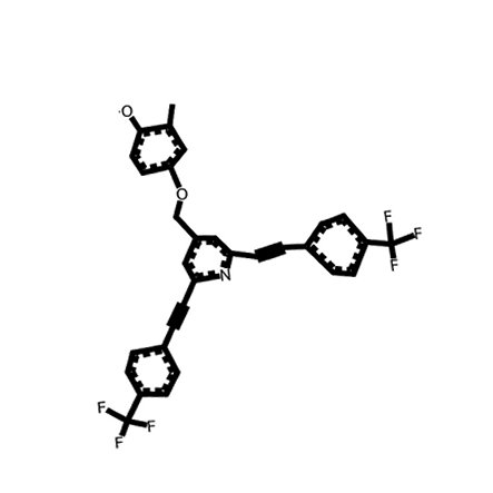 Cc1cc(OCc2cc(C#Cc3ccc(C(F)(F)F)cc3)nc(C#Cc3ccc(C(F)(F)F)cc3)c2)ccc1[O]